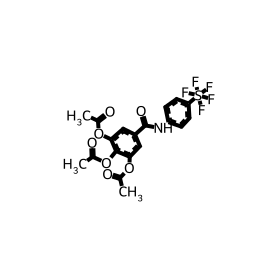 CC(=O)Oc1cc(C(=O)Nc2ccc(S(F)(F)(F)(F)F)cc2)cc(OC(C)=O)c1OC(C)=O